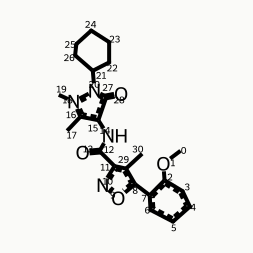 COc1ccccc1-c1onc(C(=O)Nc2c(C)n(C)n(C3CCCCC3)c2=O)c1C